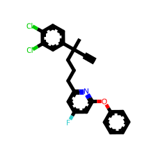 C#CC(C)(CCCc1cc(F)cc(Oc2ccccc2)n1)c1ccc(Cl)c(Cl)c1